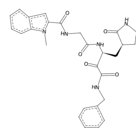 Cn1c(C(=O)NCC(=O)N[C@@H](C[C@@H]2CCNC2=O)C(=O)C(=O)NCc2ccccc2)cc2ccccc21